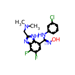 CN(C)Cc1nc2c(F)c(F)cc(/C(=N/O)Nc3cccc(Cl)c3)c2[nH]1